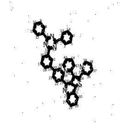 c1ccc(-c2nc(-c3ccccc3)nc(-c3cccc(-c4ccc(-c5nc6ccccc6c6sc(-c7ccccn7)c(-c7ccccn7)c56)cc4)c3)n2)cc1